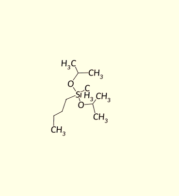 CCCC[Si](C)(OC(C)C)OC(C)C